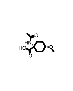 CO[C@H]1CC[C@@](NC(C)=O)(C(=O)O)CC1